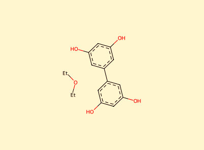 CCOCC.Oc1cc(O)cc(-c2cc(O)cc(O)c2)c1